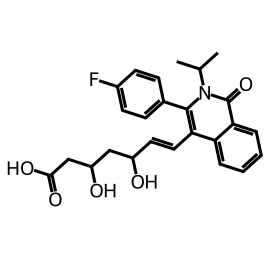 CC(C)n1c(-c2ccc(F)cc2)c(C=CC(O)CC(O)CC(=O)O)c2ccccc2c1=O